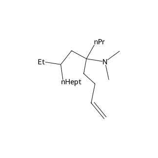 C=CCCC(CCC)(CC(CC)CCCCCCC)N(C)C